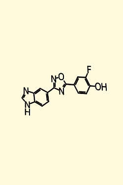 Oc1ccc(-c2nc(-c3ccc4[nH]cnc4c3)no2)cc1F